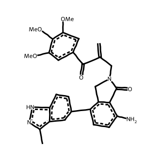 C=C(CN1Cc2c(-c3ccc4[nH]nc(C)c4c3)ccc(N)c2C1=O)C(=O)c1cc(OC)c(OC)c(OC)c1